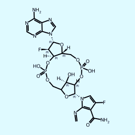 C=Nc1c(C(N)=O)c(F)cn1[C@@H]1OC2COP(=O)(O)O[C@H]3[C@@H](F)[C@H](n4cnc5c(N)ncnc54)O[C@@H]3COP(=O)(O)O[C@@H]1[C@@H]2O